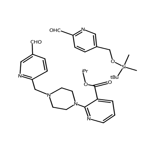 CC(C)(C)[Si](C)(C)OCc1ccc(C=O)nc1.CC(C)OC(=O)c1cccnc1N1CCN(Cc2ccc(C=O)cn2)CC1